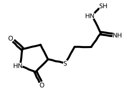 N=C(CCSC1CC(=O)NC1=O)NS